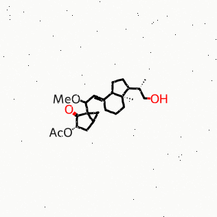 COC(/C=C1\CCC[C@@]2(C)C1CCC2[C@H](C)CO)C12CC1C[C@H](OC(C)=O)C2=O